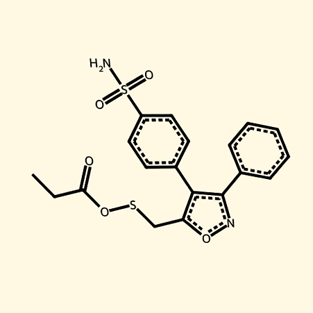 CCC(=O)OSCc1onc(-c2ccccc2)c1-c1ccc(S(N)(=O)=O)cc1